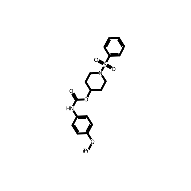 CC(C)Oc1ccc(NC(=O)OC2CCN(S(=O)(=O)c3ccccc3)CC2)cc1